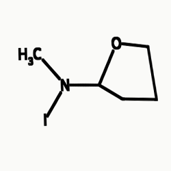 CN(I)C1CCCO1